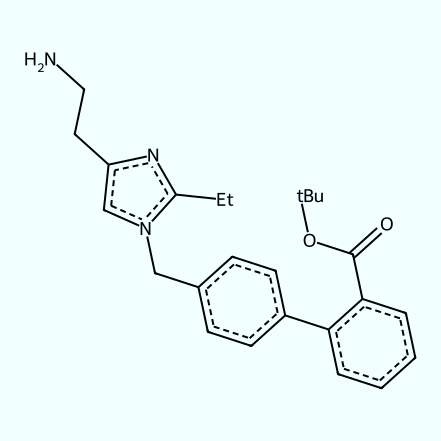 CCc1nc(CCN)cn1Cc1ccc(-c2ccccc2C(=O)OC(C)(C)C)cc1